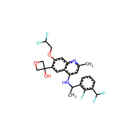 Cc1cc(NC(C)c2cccc(C(F)F)c2F)c2cc(C3(O)COC3)c(OCC(F)F)cc2n1